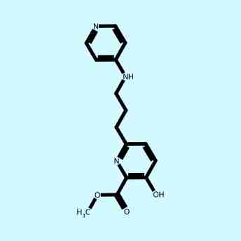 COC(=O)c1nc(CCCNc2ccncc2)ccc1O